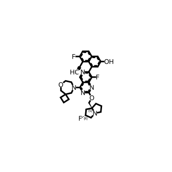 C#Cc1c(F)ccc2cc(O)cc(-c3ncc4c(N5CCOCC6(CCC6)C5)nc(OC[C@@]56CCCN5C[C@H](F)C6)nc4c3F)c12